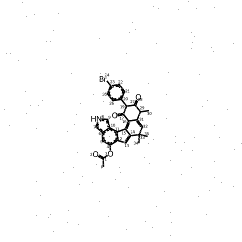 CC(=O)Oc1cc2c[nH]cc2c2c1C=C1C2=C2C(=O)C(c3ccc(Br)cc3)C(=O)C(C)C2=CC1(C)C